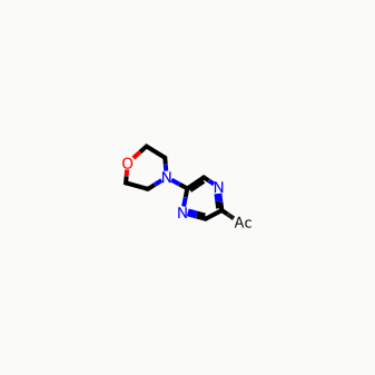 CC(=O)c1cnc(N2CCOCC2)cn1